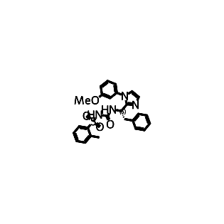 COc1cccc(-n2ccnc2[C@H](Cc2ccccc2)NC(=O)NS(=O)(=O)c2ccccc2C)c1